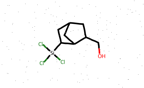 OCC1CC2CC1C([Si](Cl)(Cl)Cl)C2